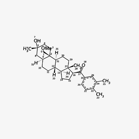 COC[C@]12CC[C@@](C)(O)C[C@@H]1CC[C@H]1[C@@H]3CC[C@H](C(=O)c4ccc(C)c(C)c4)[C@@]3(C)CC[C@@H]12